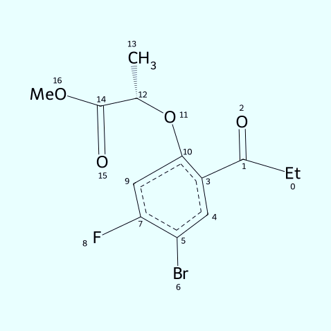 CCC(=O)c1cc(Br)c(F)cc1O[C@@H](C)C(=O)OC